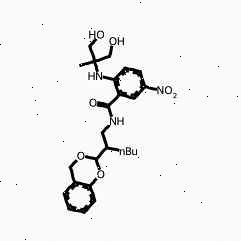 CCCCC(CNC(=O)c1cc([N+](=O)[O-])ccc1NC(C)(CO)CO)C1OCc2ccccc2O1